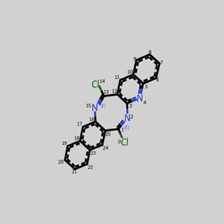 Cl/C1=N/c2nc3ccccc3cc2/C(Cl)=N\c2cc3ccccc3cc21